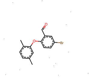 Cc1ccc(C)c(Oc2ccc(Br)cc2C=O)c1